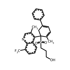 CC1=CC=C(c2ccccc2)CC1(c1c(C)cnc2c(C(F)(F)F)cccc12)S(=O)(=O)CCCO